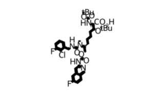 CN(C(=O)NCc1cccc(F)c1Cl)[C@@H](CCCCC(OC(C)(C)C)[C@@H](NC(=O)OC(C)(C)C)C(=O)O)COC(=O)Nc1cc2cc(F)ccc2cn1